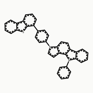 c1ccc(-n2c3ccccc3c3ccc4c(ccn4-c4ccc(-c5cccc6c5sc5ccccc56)cc4)c32)cc1